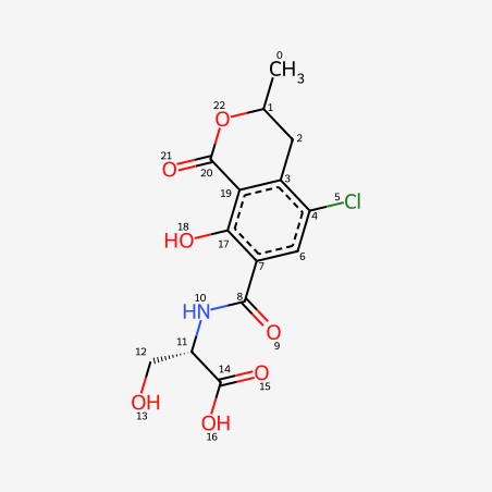 CC1Cc2c(Cl)cc(C(=O)N[C@@H](CO)C(=O)O)c(O)c2C(=O)O1